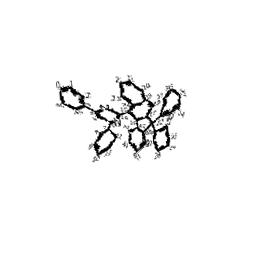 c1ccc(-c2cc(-c3ccccc3)nc(-c3c4c(cc5ccccc35)C(c3ccccc3)(c3ccccc3)c3ccccc3-4)n2)cc1